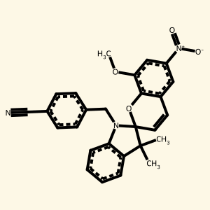 COc1cc([N+](=O)[O-])cc2c1OC1(C=C2)N(Cc2ccc(C#N)cc2)c2ccccc2C1(C)C